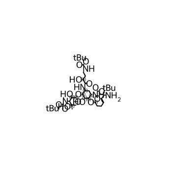 CN(C(=O)OC(C)(C)C)C1[C@@H](O)[C@@H](O[C@@H]2[C@@H](O)[C@H](O[C@@H]3CCC=C(CN)O3)[C@@H](NC(=O)OC(C)(C)C)C[C@H]2NC(=O)[C@@H](O)CCNC(=O)OC(C)(C)C)OC[C@]1(C)O